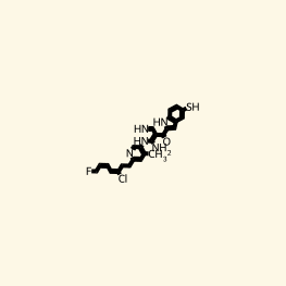 Cc1cc(CC/C(Cl)=C\C=C/CF)ncc1N/C(N)=C(\C=N)C(=O)c1cc2cc(S)ccc2[nH]1